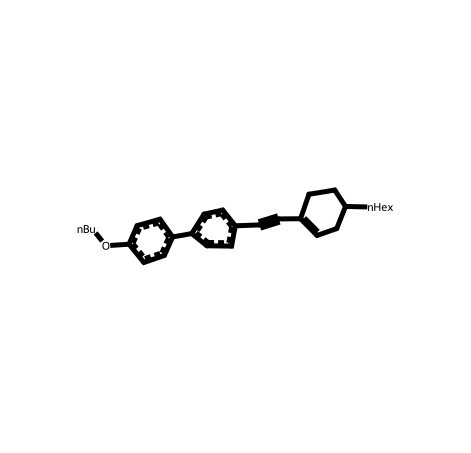 CCCCCCC1CC=C(C#Cc2ccc(-c3ccc(OCCCC)cc3)cc2)CC1